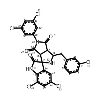 O=C1C2C(Cc3cccc(Cl)c3)NC3(C(=O)Nc4c(Cl)cc(Cl)cc43)C2C(=O)N1c1cc(Cl)cc(Cl)c1